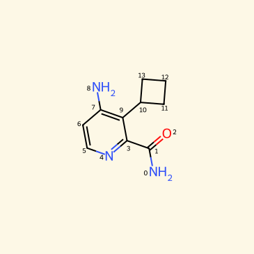 NC(=O)c1nccc(N)c1C1CCC1